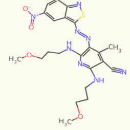 COCCCNc1nc(NCCCOC)c(/N=N/c2snc3ccc([N+](=O)[O-])cc23)c(C)c1C#N